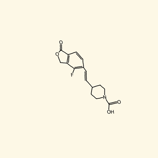 O=C1OCc2c1ccc(C=CC1CCN(C(=O)O)CC1)c2F